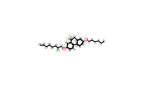 CCCCCCOc1ccc2c(c1)CC(F)(F)c1cc(OCC(F)CCCCCC)ccc1-2